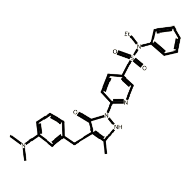 CCN(c1ccccc1)S(=O)(=O)c1ccc(-n2[nH]c(C)c(Cc3cccc(N(C)C)c3)c2=O)nc1